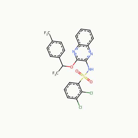 O=S(=O)(Nc1nc2ccccc2nc1OC(c1ccc(C(F)(F)F)cc1)C(F)(F)F)c1cccc(Cl)c1Cl